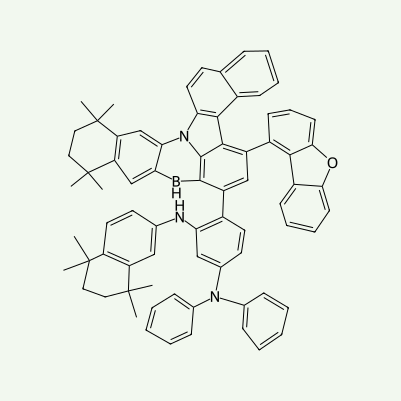 CC1(C)CCC(C)(C)c2cc(Nc3cc(N(c4ccccc4)c4ccccc4)ccc3-c3cc(-c4cccc5oc6ccccc6c45)c4c5c6ccccc6ccc5n5c4c3Bc3cc4c(cc3-5)C(C)(C)CCC4(C)C)ccc21